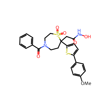 COc1ccc(-c2ccc(C3(CC(=O)NO)CCN(C(=O)c4ccccc4)CCS3(=O)=O)s2)cc1